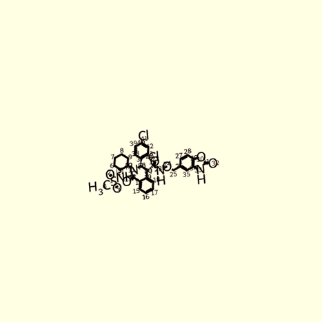 CS(=O)(=O)N[C@H]1CCCC[C@@H]1N1C(=O)c2ccccc2[C@@H](C(=O)NOCc2ccc3oc(=O)[nH]c3c2)[C@@H]1c1ccc(Cl)cc1Cl